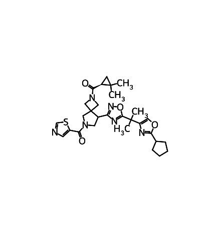 CC(C)(c1coc(C2CCCC2)n1)c1nc(C2CN(C(=O)c3cncs3)CC23CN(C(=O)[C@H]2CC2(C)C)C3)no1